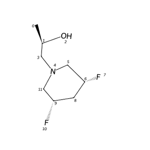 C[C@@H](O)CN1C[C@H](F)C[C@H](F)C1